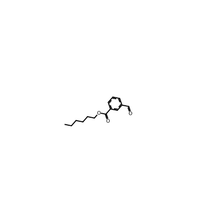 CCCCCCOC(=O)c1cccc(C=O)c1